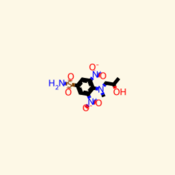 CC(O)CN(C)c1c([N+](=O)[O-])cc(S(N)(=O)=O)cc1[N+](=O)[O-]